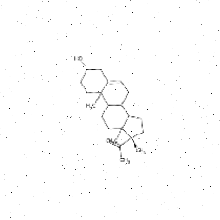 CC(=O)[C@@]1(C)CCC2C3CC=C4C[C@@H](O)CCC4(C)C3CCC21C